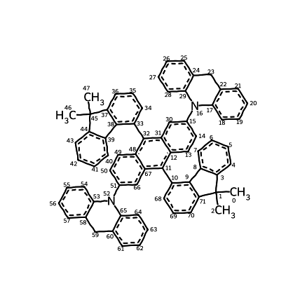 CC1(C)c2ccccc2-c2c(-c3c4ccc(N5c6ccccc6Cc6ccccc65)cc4c(-c4cccc5c4-c4ccccc4C5(C)C)c4ccc(N5c6ccccc6Cc6ccccc65)cc34)cccc21